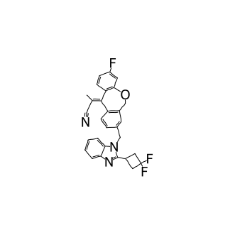 C/C(C#N)=C1/c2ccc(Cn3c(C4CC(F)(F)C4)nc4ccccc43)cc2COc2cc(F)ccc21